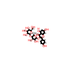 C[C@@H]1O[C@@H](Oc2c(-c3ccc(O)cc3)oc3cc(O)cc(O)c3c2=O)[C@H](O)[C@H](O)[C@H]1O[C@@H]1O[C@H](CO)[C@@H](O)[C@H](O)[C@H]1O